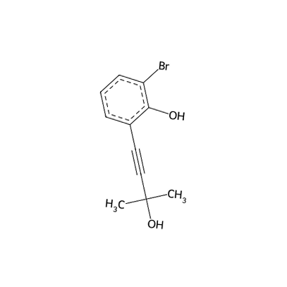 CC(C)(O)C#Cc1cccc(Br)c1O